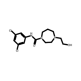 O=C(Nc1cc(Cl)cc(Cl)c1)N1CCCN(CCO)CC1